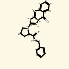 O=C(NCc1ccccc1)C1CCCN1c1nn2c(=O)c3ccccc3nc2s1